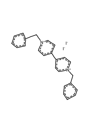 [I-].[I-].c1ccc(C[n+]2ccc(-c3cc[n+](Cc4ccccc4)cc3)cc2)cc1